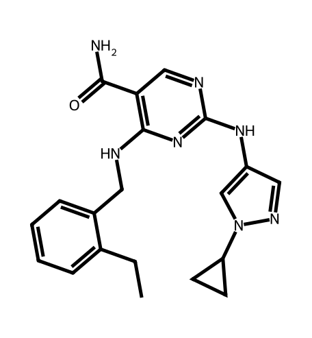 CCc1ccccc1CNc1nc(Nc2cnn(C3CC3)c2)ncc1C(N)=O